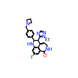 CCn1ncnc1C1C2=CCNC(=O)c3cc(F)cc(c32)NC1c1ccc(CN2CCC2)cc1